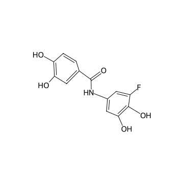 O=C(Nc1cc(O)c(O)c(F)c1)c1ccc(O)c(O)c1